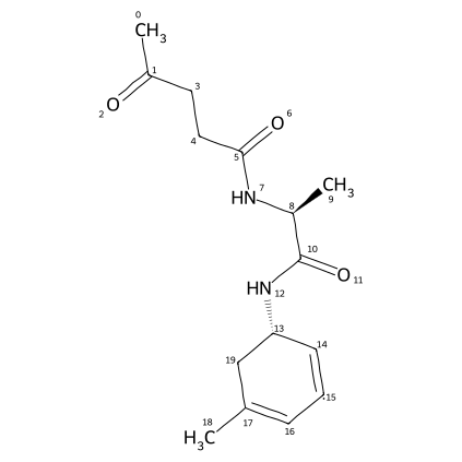 CC(=O)CCC(=O)N[C@@H](C)C(=O)N[C@@H]1C=[C]C=C(C)C1